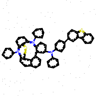 c1ccc(N(c2ccc(-c3ccc4sc5ccccc5c4c3)cc2)c2ccc3c(c2)c2cccc4ccc5c(sc6c(cccc6n5-c5ccccc5)n3-c3ccccc3)c42)cc1